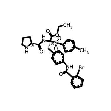 CCOC(=O)[C@](Cc1ccc(NC(=O)c2ccccc2Br)cc1)(NC(=O)[C@@H]1CCCN1)S(=O)(=O)c1ccc(C)cc1